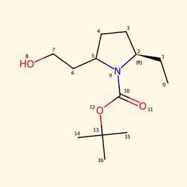 CC[C@@H]1CCC(CCO)N1C(=O)OC(C)(C)C